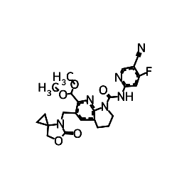 COC(OC)c1nc2c(cc1CN1C(=O)OCC13CC3)CCCN2C(=O)Nc1cc(F)c(C#N)cn1